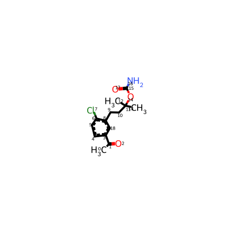 CC(=O)c1ccc(Cl)c(CCC(C)(C)OC(N)=O)c1